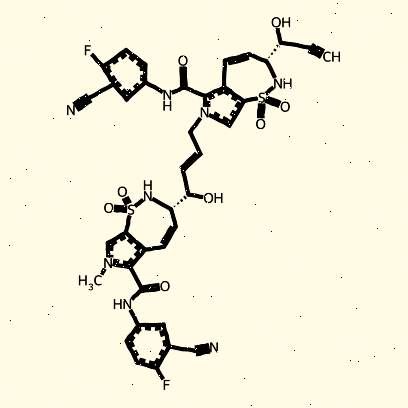 C#CC(O)[C@H]1C=Cc2c(cn(C/C=C/C(O)[C@@H]3C=Cc4c(cn(C)c4C(=O)Nc4ccc(F)c(C#N)c4)S(=O)(=O)N3)c2C(=O)Nc2ccc(F)c(C#N)c2)S(=O)(=O)N1